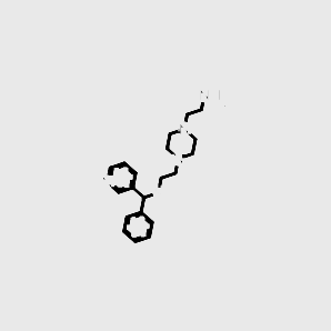 NCCN1CCN(CCSC(c2ccccc2)c2cccnc2)CC1